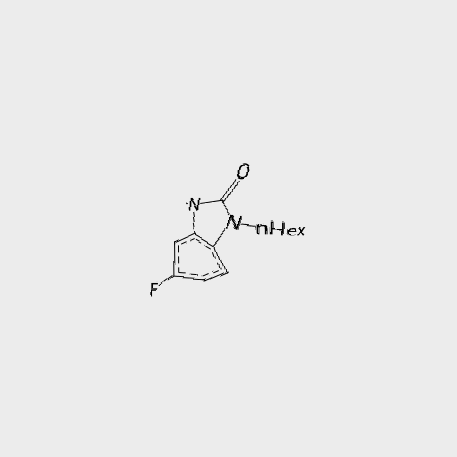 CCCCCCN1C(=O)[N]c2cc(F)ccc21